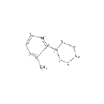 Cc1cccnc1N1CCSCC1